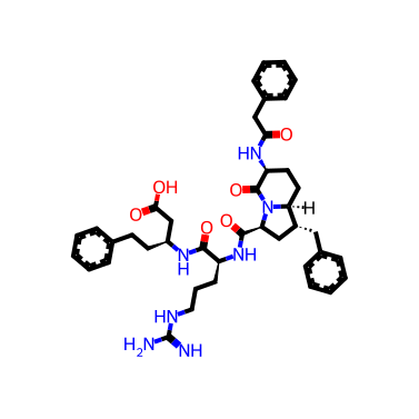 N=C(N)NCCC[C@H](NC(=O)[C@@H]1C[C@@H](Cc2ccccc2)[C@@H]2CC[C@H](NC(=O)Cc3ccccc3)C(=O)N12)C(=O)N[C@@H](CCc1ccccc1)CC(=O)O